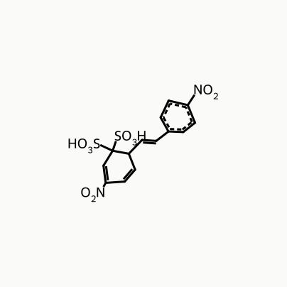 O=[N+]([O-])C1=CC(S(=O)(=O)O)(S(=O)(=O)O)C(C=Cc2ccc([N+](=O)[O-])cc2)C=C1